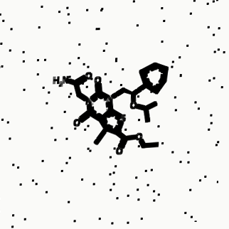 CCOC(=O)c1sc2c(c1C)c(=O)n(CC(N)=O)c(=O)n2C[C@H](OC(C)C)c1ccccc1